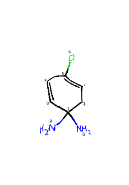 NC1(N)C=CC(Cl)=CC1